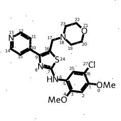 COc1cc(OC)c(Nc2nc(-c3ccncc3)c(CN3CCOCC3)s2)cc1Cl